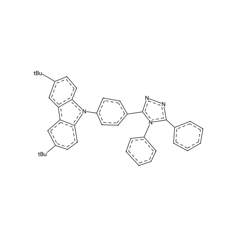 CC(C)(C)c1ccc2c(c1)c1cc(C(C)(C)C)ccc1n2-c1ccc(-c2nnc(-c3ccccc3)n2-c2ccccc2)cc1